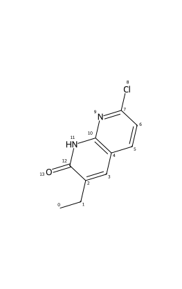 CCc1cc2ccc(Cl)nc2[nH]c1=O